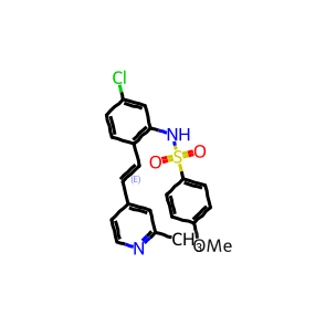 COc1ccc(S(=O)(=O)Nc2cc(Cl)ccc2/C=C/c2ccnc(C)c2)cc1